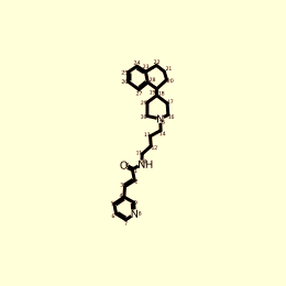 O=C(C=Cc1cccnc1)NCCCCN1CCC(C2CCCc3ccccc32)CC1